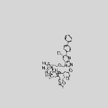 CC[Si](CC)(CC)O[C@H]1C[C@@H](Oc2nc3nc(-c4ccc(-c5ccccc5)cc4)c(Cl)cc3n2COCC[Si](C)(C)C)CO[C@@H]1C=O